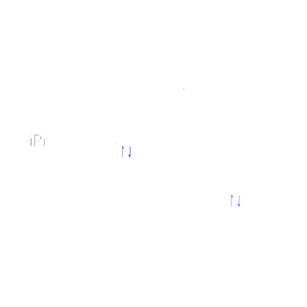 C[C](C)Cn1ccc2ccnc-2c1